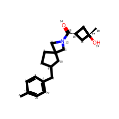 Cc1ccc(CC2CCC3(C2)CN(C(=O)[C@H]2C[C@@](C)(O)C2)C3)cc1